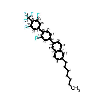 CCCCCCCc1ccc2cc(-c3ccc(-c4cc(F)c(C(F)(F)F)c(F)c4)c(F)c3)ccc2c1